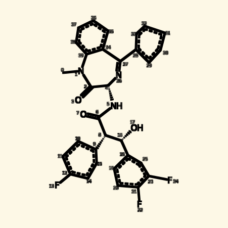 CN1C(=O)[C@@H](NC(=O)[C@@H](c2ccc(F)cc2)[C@H](O)c2ccc(F)c(F)c2)N=C(c2ccccc2)c2ccccc21